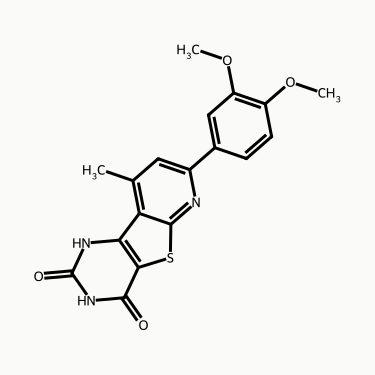 COc1ccc(-c2cc(C)c3c(n2)sc2c(=O)[nH]c(=O)[nH]c23)cc1OC